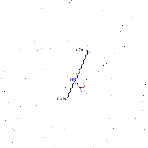 CCCCCCCC/C=C\CCCCCCCCN=CNN(CCCCCCCCCCCCCCCC)CCC(N)=O